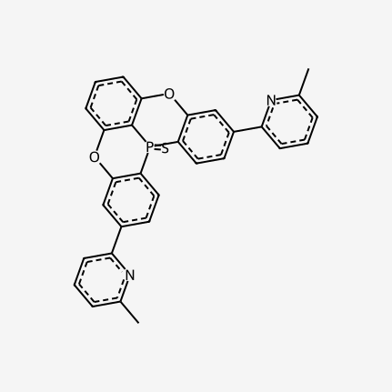 Cc1cccc(-c2ccc3c(c2)Oc2cccc4c2P3(=S)c2ccc(-c3cccc(C)n3)cc2O4)n1